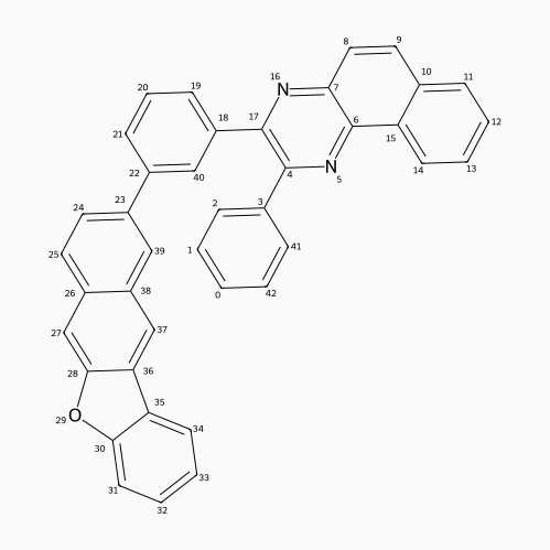 c1ccc(-c2nc3c(ccc4ccccc43)nc2-c2cccc(-c3ccc4cc5oc6ccccc6c5cc4c3)c2)cc1